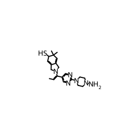 C/C=C(/c1cnc(N2CCN(N)CC2)nc1)N1CC2=CC(S)C(C)(C)C=C2C1